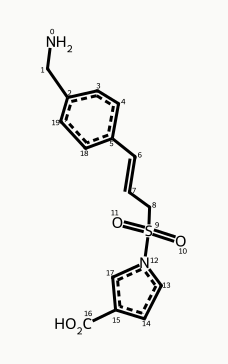 NCc1ccc(C=CCS(=O)(=O)n2ccc(C(=O)O)c2)cc1